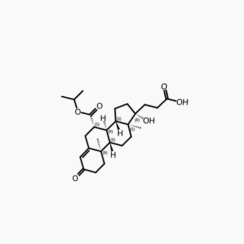 CC(C)OC(=O)[C@H]1CC2=CC(=O)CC[C@]2(C)[C@H]2CC[C@@]3(C)[C@@H](CC[C@@]3(O)CCC(=O)O)[C@H]12